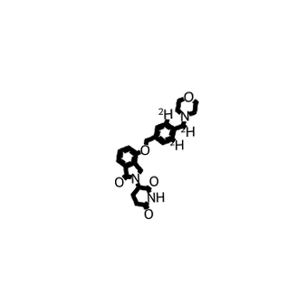 [2H]c1cc(COc2cccc3c2CN(C2CCC(=O)NC2=O)C3=O)cc([2H])c1C([2H])N1CCOCC1